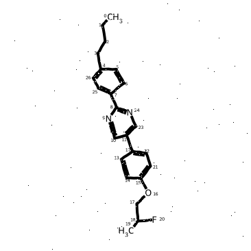 CCCCc1ccc(-c2ncc(-c3ccc(OCC(C)F)cc3)cn2)cc1